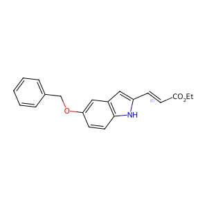 CCOC(=O)/C=C/c1cc2cc(OCc3ccccc3)ccc2[nH]1